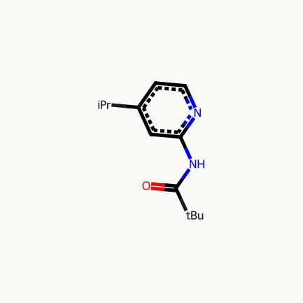 CC(C)c1ccnc(NC(=O)C(C)(C)C)c1